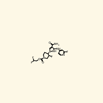 NC(=O)C1=CN(C2CCN(C(=O)OCC(F)F)CC2F)NC1Nc1ccnc(F)c1